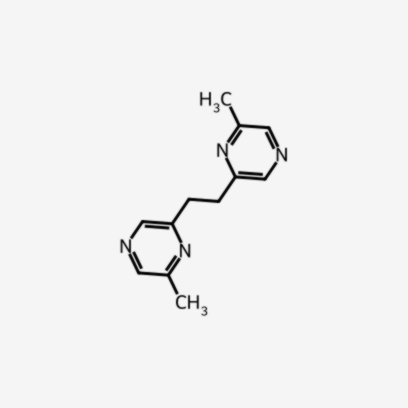 Cc1cncc(CCc2cncc(C)n2)n1